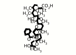 CC[C@@H](C(=O)[C@@H](C)[C@@H](O)[C@H](C)[C@@H]1O[C@@H]([C@@H](CC)C(=O)O)CC[C@@H]1C)[C@H]1O[C@]2(C=C[C@@H](NC(=O)c3ccccc3)[C@]3(CC[C@@](C)([C@H]4CC[C@](O)(CC)[C@H](C)O4)O3)O2)[C@H](C)C[C@@H]1C